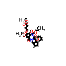 C=CCOC(=O)N1c2cc(OCCCC(=O)OC)c(OC)cc2C(=O)N2Cc3ccccc3C[C@H]2C1OC1CCCCO1